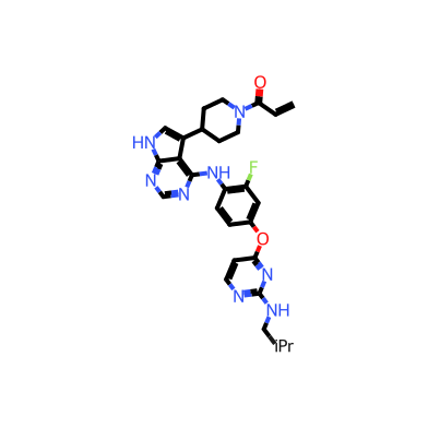 C=CC(=O)N1CCC(c2c[nH]c3ncnc(Nc4ccc(Oc5ccnc(NCC(C)C)n5)cc4F)c23)CC1